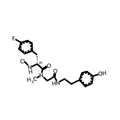 CN(CC(=O)NCCc1ccc(O)cc1)C(=O)[C@@H](Cc1ccc(F)cc1)NCl